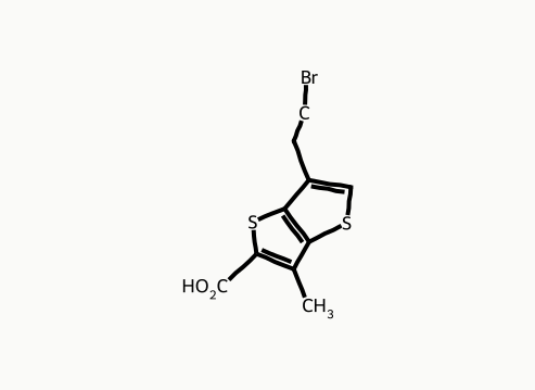 Cc1c(C(=O)O)sc2c(CCBr)csc12